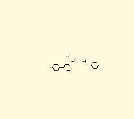 C[C@@H]1CO[C@H](COC(=O)Nc2ccccc2)CN1c1cc(-c2ccc(N)c(F)c2)nc(N)n1